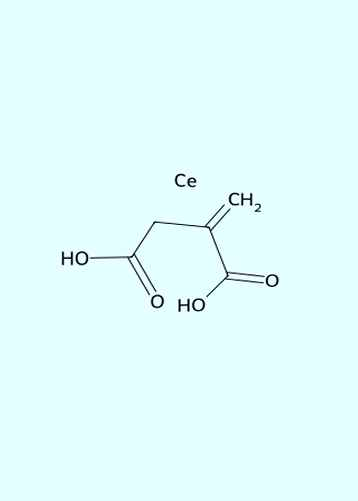 C=C(CC(=O)O)C(=O)O.[Ce]